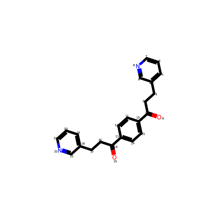 O=C(CCc1cccnc1)c1ccc(C(=O)CCc2cccnc2)cc1